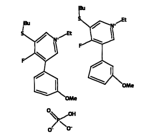 CCC(C)Sc1c[n+](CC)cc(-c2cccc(OC)c2)c1F.CCC(C)Sc1c[n+](CC)cc(-c2cccc(OC)c2)c1F.O=P([O-])([O-])O